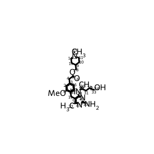 COc1cc(CC(=O)OCC2CCN(C)CC2)ccc1Cc1c(C)nc(N)nc1N[C@@H](C)CCCO